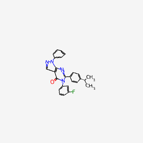 CC(C)c1ccc(-c2nc3c(cnn3-c3ccccc3)c(=O)n2-c2cccc(F)c2)cc1